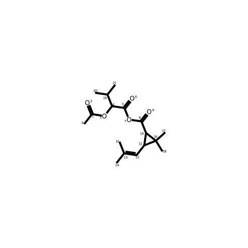 CC(=O)OC(C(=O)OC(=O)C1C(C=C(C)C)C1(C)C)C(C)C